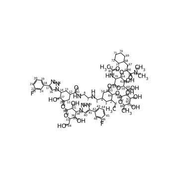 CCC1CC(CNCCNC(=O)C2CC(n3cc(-c4cccc(F)c4)nn3)C(O)[C@H](O[C@@H]3OC(CO)[C@H](O)C(n4cc(-c5cccc(F)c5)nn4)C3O)C2)C[C@@H](O[C@@H]2OC(CO)[C@H](O)C(O[C@@H](CC3CCCCC3)C(=O)N(C)C)C2NC(C)=O)C1O[C@@H]1OC(C)[C@@H](O)C(O)C1O